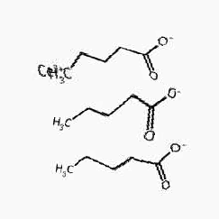 CCCCC(=O)[O-].CCCCC(=O)[O-].CCCCC(=O)[O-].[Ce+3]